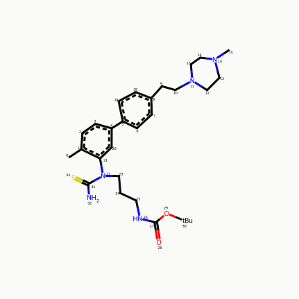 Cc1ccc(-c2ccc(CCN3CCN(C)CC3)cc2)cc1N(CCCNC(=O)OC(C)(C)C)C(N)=S